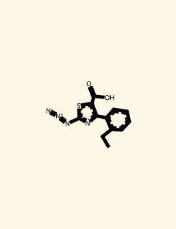 CCc1ccccc1-c1nc(N=[N+]=[N-])sc1C(=O)O